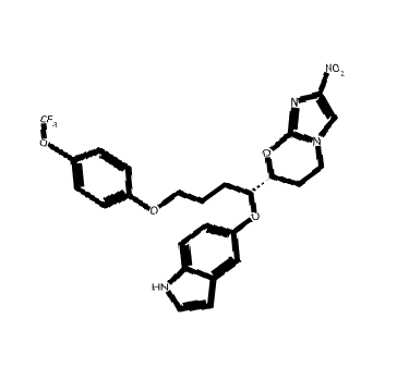 O=[N+]([O-])c1cn2c(n1)O[C@@H](C(CCCOc1ccc(OC(F)(F)F)cc1)Oc1ccc3[nH]ccc3c1)CC2